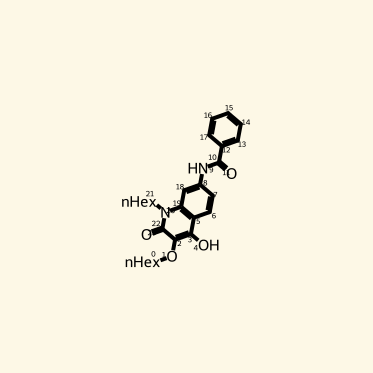 CCCCCCOc1c(O)c2ccc(NC(=O)c3ccccc3)cc2n(CCCCCC)c1=O